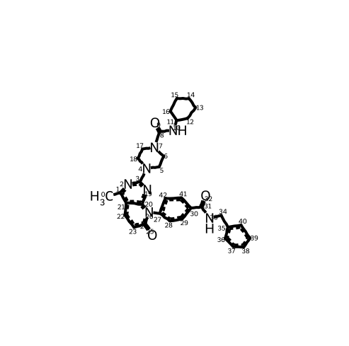 Cc1nc(N2CCN(C(=O)NC3CCCCC3)CC2)nc2c1ccc(=O)n2-c1ccc(C(=O)NCc2ccccc2)cc1